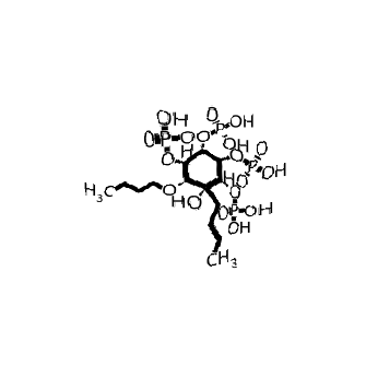 CCCCO[C@@H]1[C@@H](OP(=O)(O)O)[C@H](OP(=O)(O)O)[C@@H](OP(=O)(O)O)[C@H](OP(=O)(O)O)[C@@]1(O)CCCC